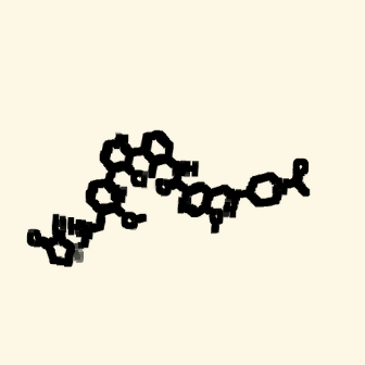 COc1cnc(C(=O)Nc2cccc(-c3nccc(-c4ccc(CNC[C@@H]5CCC(=O)N5)c(OC)n4)c3Cl)c2C)cc1CNC1CCN(C(C)=O)CC1